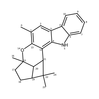 Cc1cc2c([nH]c3ccccc32)c2c1OC1(C)CCC3C1C2C3(C)C